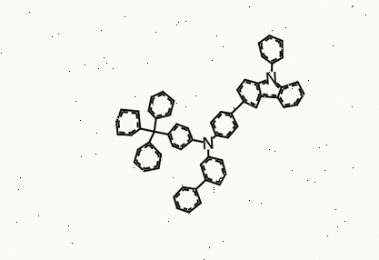 c1ccc(-c2cccc(N(c3ccc(-c4ccc5c(c4)c4ccccc4n5-c4ccccc4)cc3)c3ccc(C(c4ccccc4)(c4ccccc4)c4ccccc4)cc3)c2)cc1